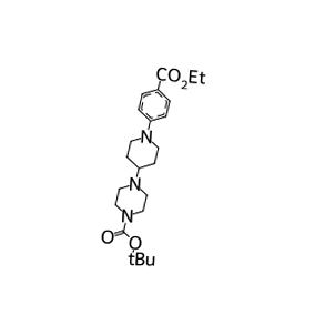 CCOC(=O)c1ccc(N2CCC(N3CCN(C(=O)OC(C)(C)C)CC3)CC2)cc1